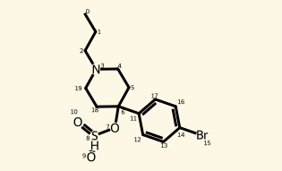 CCCN1CCC(O[SH](=O)=O)(c2ccc(Br)cc2)CC1